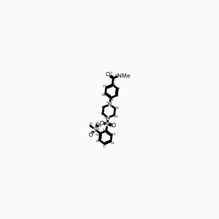 CNC(=O)c1ccc(N2CCN(S(=O)(=O)c3ccccc3S(C)(=O)=O)CC2)cc1